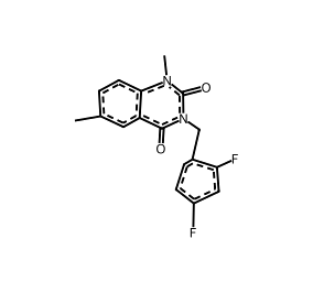 Cc1ccc2c(c1)c(=O)n(Cc1ccc(F)cc1F)c(=O)n2C